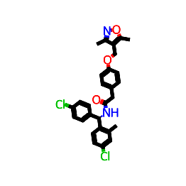 Cc1cc(Cl)ccc1[C@@H](NC(=O)Cc1ccc(OCc2c(C)noc2C)cc1)c1ccc(Cl)cc1